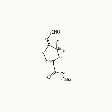 CC(C)(C)OC(=O)N1CCC(=CC=O)C(C)(C)C1